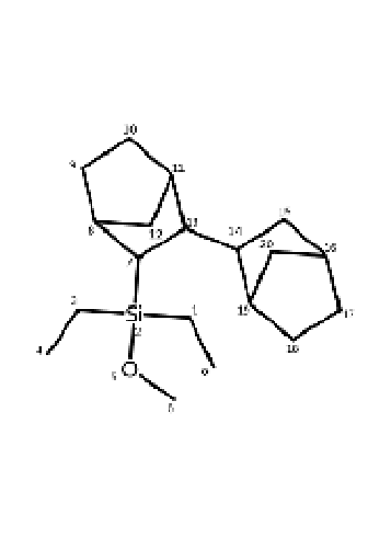 CC[Si](CC)(OC)C1C2CCC(C2)C1C1CC2CCC1C2